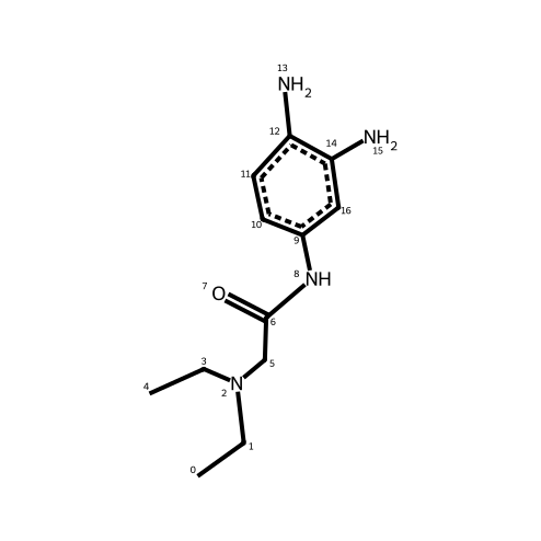 CCN(CC)CC(=O)Nc1ccc(N)c(N)c1